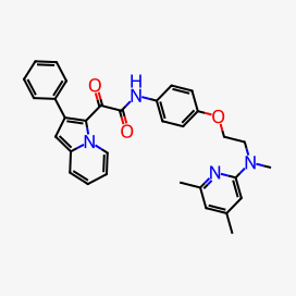 Cc1cc(C)nc(N(C)CCOc2ccc(NC(=O)C(=O)c3c(-c4ccccc4)cc4ccccn34)cc2)c1